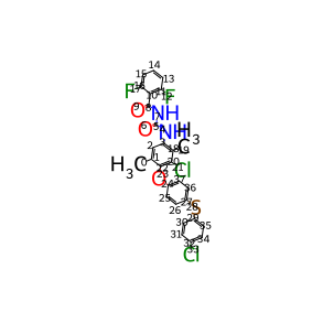 Cc1cc(NC(=O)NC(=O)c2c(F)cccc2F)c(C)c(Cl)c1Oc1ccc(Sc2ccc(Cl)cc2)cc1